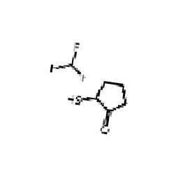 FC(F)F.O=C1CCCC1S